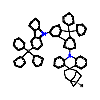 c1ccc(C2(c3ccccc3)c3ccc(N4c5ccccc5C5(CC[C@@]67CC5C[C@H]6C7)c5ccccc54)cc3-c3cc(-n4c5ccccc5c5cc([Si](c6ccccc6)(c6ccccc6)c6ccccc6)ccc54)ccc32)cc1